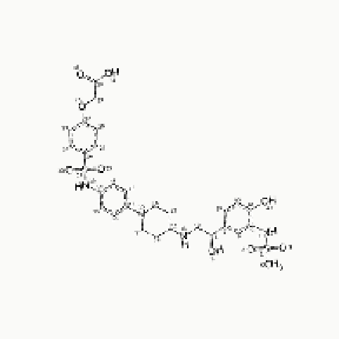 CS(=O)(=O)Nc1cc([C@@H](O)CNC2CCN(c3ccc(NS(=O)(=O)c4ccc(OCC(=O)O)cc4)cc3)CC2)ccc1O